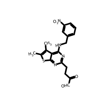 Cc1sc2nc(CCC(=O)C=O)nc(NCc3cccc([N+](=O)[O-])c3)c2c1C